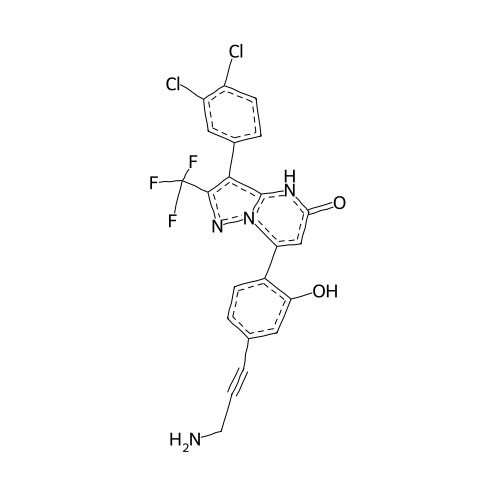 NCC#Cc1ccc(-c2cc(=O)[nH]c3c(-c4ccc(Cl)c(Cl)c4)c(C(F)(F)F)nn23)c(O)c1